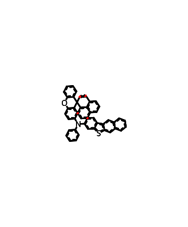 c1ccc(N(c2ccc3c(c2)C2(c4ccccc4O3)c3ccccc3-c3cccc4cccc2c34)c2ccc3c(c2)sc2cc4ccccc4cc23)cc1